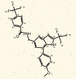 COc1ccc(-c2cc(CNC(=O)c3ccc(C(F)(F)F)nc3)cc3cc(C(F)(F)F)[nH]c23)cn1